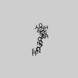 Cc1nc(N[C@H]2CCc3nn(Cc4ccc(C(F)(F)F)nc4)cc32)nc2c1NC(=O)C(C(C)C)N2C